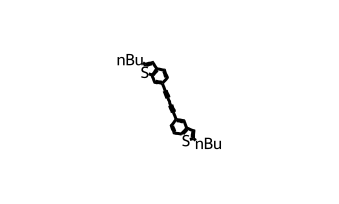 CCCCc1cc2cc(C#CC#Cc3ccc4cc(CCCC)sc4c3)ccc2s1